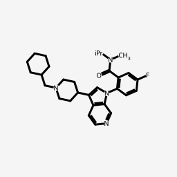 CC(C)N(C)C(=O)c1cc(F)ccc1-n1cc(C2CCN(CC3CCCCC3)CC2)c2ccncc21